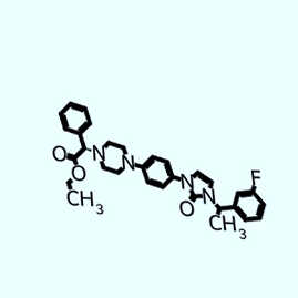 CCOC(=O)[C@H](c1ccccc1)N1CCN(c2ccc(-n3ccn(C(C)c4cccc(F)c4)c3=O)cc2)CC1